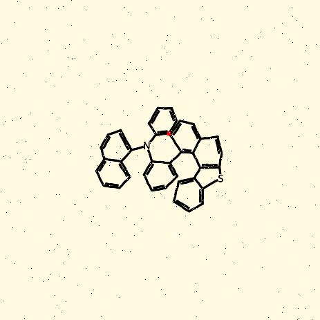 c1ccc(N(c2ccccc2-c2cccc3ccc4sc5ccccc5c4c23)c2cccc3ccccc23)cc1